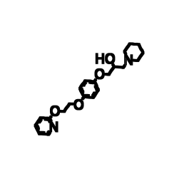 OC(COc1ccc(OCCOc2ccccn2)cc1)CN1CCCCC1